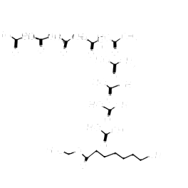 CC(=O)O.CC(=O)O.CC(=O)O.CC(=O)O.CC(=O)O.CC(=O)O.CC(=O)O.CC(=O)O.CC(=O)O.CCCCCCCC(=O)OCC